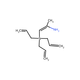 C=CC[Si](C=C(C)N)(CC=C)CC=C